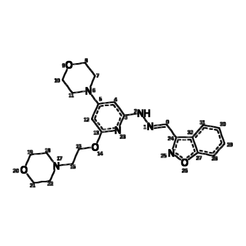 C(=NNc1cc(N2CCOCC2)cc(OCCN2CCOCC2)n1)c1noc2ccccc12